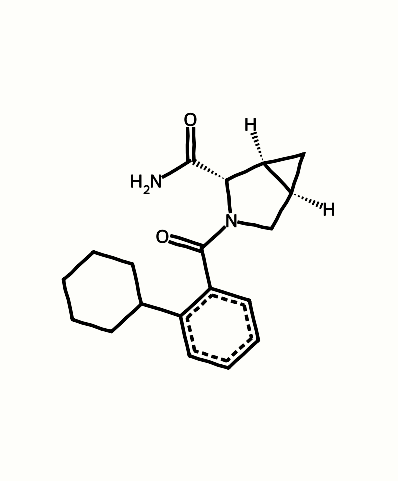 NC(=O)[C@@H]1[C@H]2C[C@H]2CN1C(=O)c1ccccc1C1CCCCC1